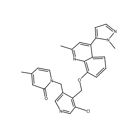 Cc1ccn(Cc2cncc(Cl)c2COc2cccc3c(-c4ccnn4C)cc(C)nc23)c(=O)c1